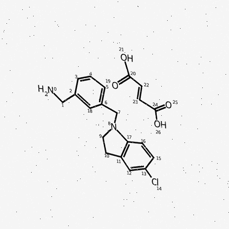 NCc1cccc(CN2CCc3cc(Cl)ccc32)c1.O=C(O)/C=C/C(=O)O